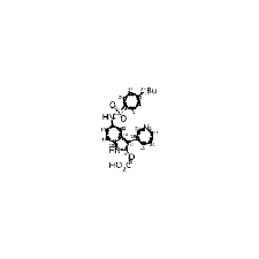 CC(C)(C)c1ccc(S(=O)(=O)Nc2ccc3[nH]c(OC(=O)O)c(-c4cccnc4)c3c2)cc1